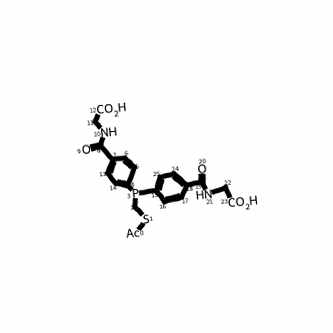 CC(=O)SCP(c1ccc(C(=O)NCC(=O)O)cc1)c1ccc(C(=O)NCC(=O)O)cc1